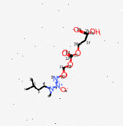 CC(C)CCN(C)/[N+]([O-])=N/OCOC(=O)OCCC(=O)O